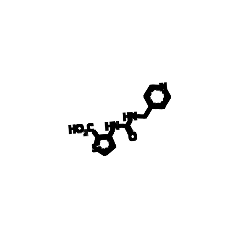 O=C(NCc1ccncc1)Nc1ccsc1C(=O)O